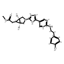 COC(=O)CC1[C@H]2CN(c3nnc(-c4cnc(NCCc5ccc(Cl)cc5)nc4)o3)C[C@@H]12